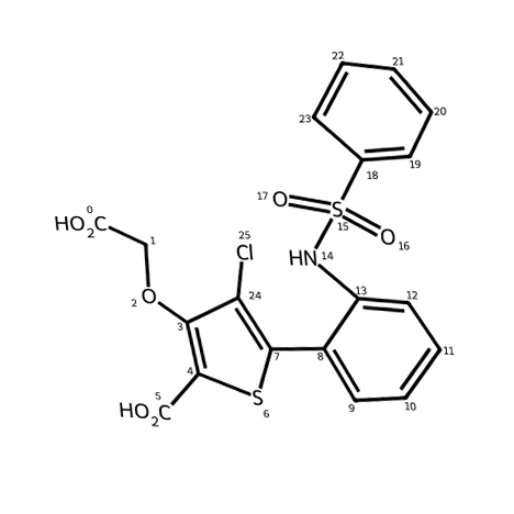 O=C(O)COc1c(C(=O)O)sc(-c2ccccc2NS(=O)(=O)c2ccccc2)c1Cl